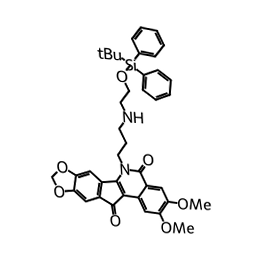 COc1cc2c3c(n(CCCNCCO[Si](c4ccccc4)(c4ccccc4)C(C)(C)C)c(=O)c2cc1OC)-c1cc2c(cc1C3=O)OCO2